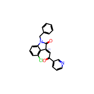 O=C(/C=C1/C(=O)N(Cc2ccccc2)c2cccc(Cl)c21)c1cccnc1